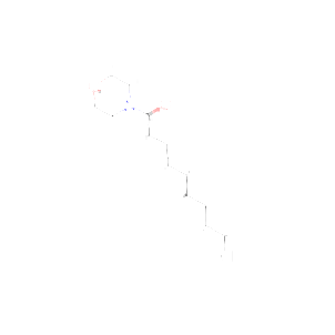 CCCCCCCCCC(=O)N1CCOCC1